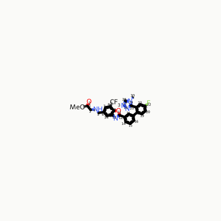 COC(=O)CNCc1cc(C(F)(F)F)c2oc(-c3cccc(-c4ccc(F)cc4-c4nncn4C)c3)nc2c1